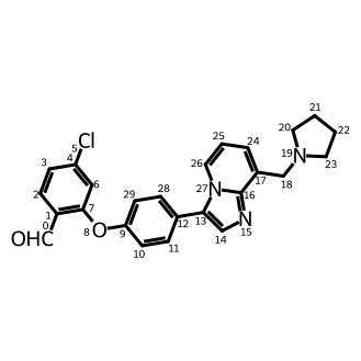 O=Cc1ccc(Cl)cc1Oc1ccc(-c2cnc3c(CN4CCCC4)cccn23)cc1